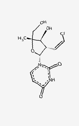 C[C@]1(CO)O[C@@H](n2ccc(=O)[nH]c2=O)[C@@H](/C=C\Cl)[C@@H]1O